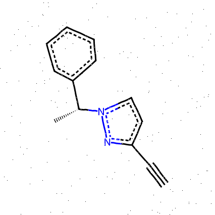 C#Cc1ccn([C@H](C)c2ccccc2)n1